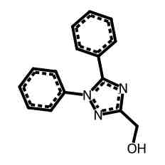 OCc1nc(-c2ccccc2)n(-c2ccccc2)n1